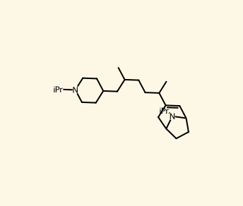 CC(CCC(C)C1=CC2CCC(C1)N2C(C)C)CC1CCN(C(C)C)CC1